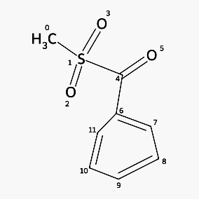 CS(=O)(=O)C(=O)c1ccccc1